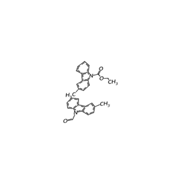 CCOC(=O)n1c2ccccc2c2cc(C)ccc21.Cc1ccc2c(c1)c1ccccc1n2C=O